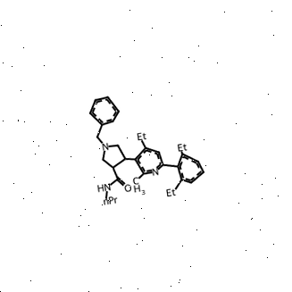 CCCNC(=O)C1CN(Cc2ccccc2)CC1c1c(CC)cc(-c2c(CC)cccc2CC)nc1C